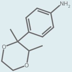 CC1OCCOC1(C)c1ccc(N)cc1